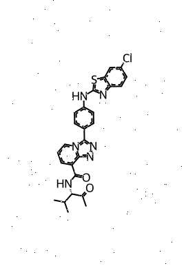 CC(=O)[C@@H](NC(=O)c1cccn2c(-c3ccc(Nc4nc5ccc(Cl)cc5s4)cc3)nnc12)C(C)C